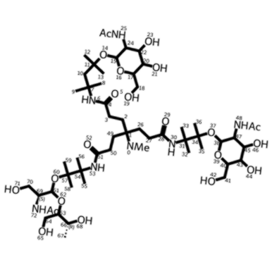 CNC(CCC(=O)NC(C)(C)CC(C)(C)OC1OC(CO)C(O)C(O)C1NC(C)=O)(CCC(=O)NC(C)(C)C(C)(C)OC1OC(CO)C(O)C(O)C1NC(C)=O)CCC(=O)NC(C)(C)C(C)(C)OC(OC(CO)[C@@H](C)O)[C@H](CO)NC(C)=O